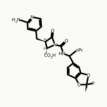 CCCC(NC(=O)N1C(=O)[C@H](Cc2ccnc(N)c2)[C@H]1C(=O)O)c1ccc2c(c1)OC(F)(F)O2